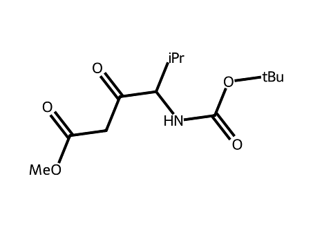 COC(=O)CC(=O)C(NC(=O)OC(C)(C)C)C(C)C